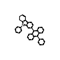 C1=Cc2c(n(-c3ccccc3)c3cc(-c4c5ccccc5c(-c5ccccc5)c5ccccc45)ccc23)CC1